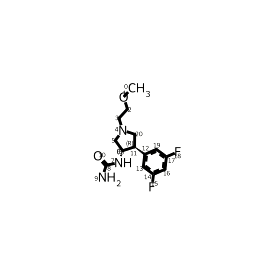 COCCN1C[C@@H](NC(N)=O)[C@H](c2cc(F)cc(F)c2)C1